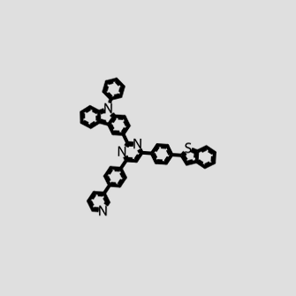 c1ccc(-n2c3ccccc3c3cc(-c4nc(-c5ccc(-c6cccnc6)cc5)cc(-c5ccc(-c6cc7ccccc7s6)cc5)n4)ccc32)cc1